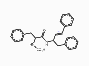 O=C(O)NC(Cc1ccccc1)C(=O)NC(/C=C/c1ccccc1)Cc1ccccc1